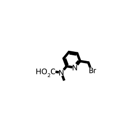 CN(C(=O)O)c1cccc(CBr)n1